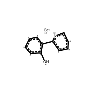 Oc1ccccc1-c1ccccn1.[Be]